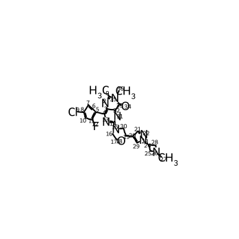 Cc1nc2c(-c3ccc(Cl)cc3F)nc(N3CCOC(c4cnn(C5CN(C)C5)c4)C3)nc2c(=O)n1C